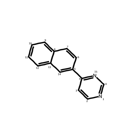 [c]1nccc(-c2ccc3ccccc3c2)n1